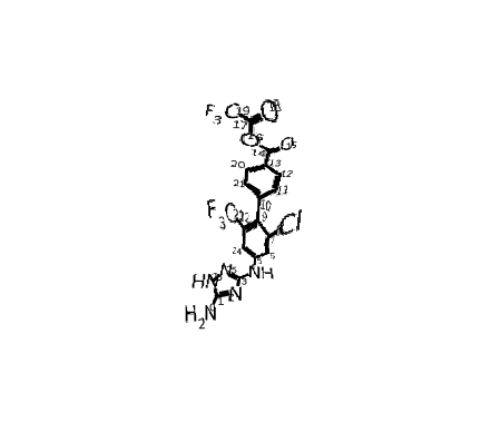 Nc1nc(Nc2cc(Cl)c(-c3ccc(C(=O)OC(=O)C(F)(F)F)cc3)c(C(F)(F)F)c2)n[nH]1